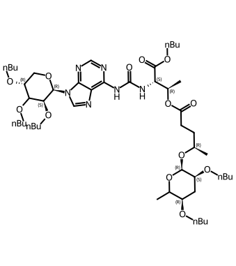 CCCCOC(=O)[C@@H](NC(=O)Nc1ncnc2c1ncn2[C@@H]1OC[C@@H](OCCCC)C(OCCCC)[C@@H]1OCCCC)[C@@H](C)OC(=O)CC[C@@H](C)O[C@@H]1OC(C)[C@H](OCCCC)C[C@@H]1OCCCC